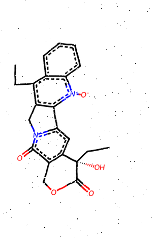 CCc1c2c([n+]([O-])c3ccccc13)-c1cc3c(c(=O)n1C2)COC(=O)[C@]3(O)CC